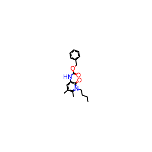 CCCCn1c(C)c(C)cc(NC(=O)OCc2ccccc2)c1=O